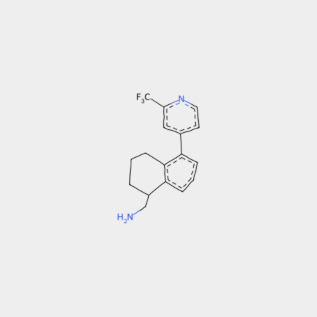 NCC1CCCc2c(-c3ccnc(C(F)(F)F)c3)cccc21